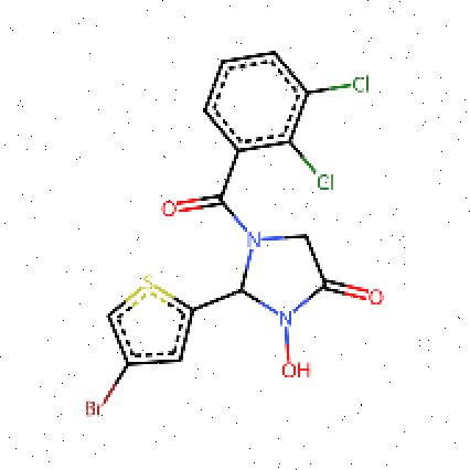 O=C1CN(C(=O)c2cccc(Cl)c2Cl)C(c2cc(Br)cs2)N1O